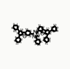 c1ccc(-c2cc(-c3ccccc3)c3oc4cc(-c5nc(-c6ccccc6)nc(-c6cccc7c6oc6c(-c8ccccc8)cc(-c8ccccc8)cc67)n5)ccc4c3c2)cc1